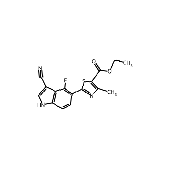 CCOC(=O)c1sc(-c2ccc3[nH]cc(C#N)c3c2F)nc1C